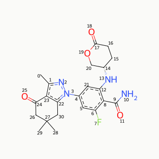 Cc1nn(-c2cc(F)c(C(N)=O)c(N[C@H]3CCC(=O)OC3)c2)c2c1C(=O)CC(C)(C)C2